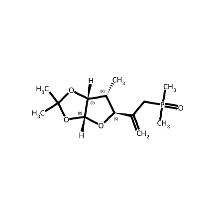 C=C(CP(C)(C)=O)[C@H]1O[C@@H]2OC(C)(C)O[C@@H]2[C@@H]1C